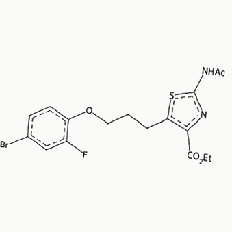 CCOC(=O)c1nc(NC(C)=O)sc1CCCOc1ccc(Br)cc1F